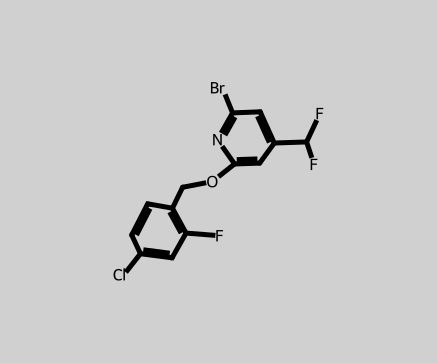 Fc1cc(Cl)ccc1COc1cc(C(F)F)cc(Br)n1